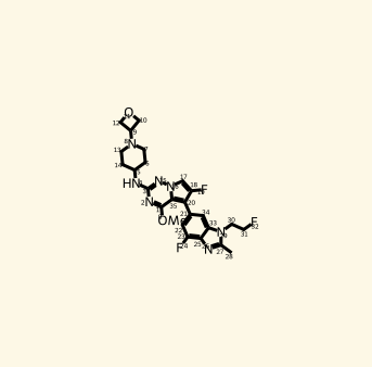 COc1nc(NC2CCN(C3COC3)CC2)nn2cc(F)c(-c3cc(F)c4nc(C)n(CCF)c4c3)c12